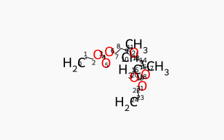 C=CCOC(=O)OCCC(C)(C)OCCC(C)(C)OC(=O)OCC=C